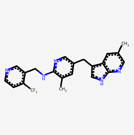 Cc1cnc2[nH]cc(Cc3cnc(NCc4cnccc4C(F)(F)F)c(C)c3)c2c1